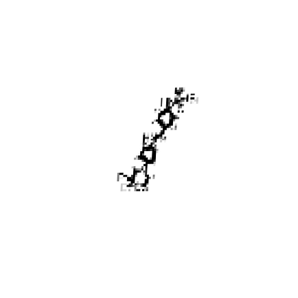 CCC1(CC)CN(c2ccc(NCc3ccc(NS(=O)(=O)C(C)(C)C)cc3)cc2)CCO1